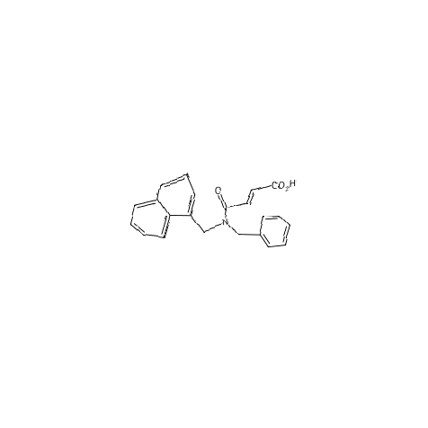 O=C(O)/C=C/C(=O)N(Cc1ccccc1)Cc1cccc2ccccc12